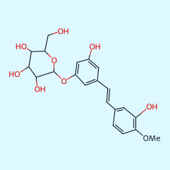 COc1ccc(C=Cc2cc(O)cc(OC3OC(CO)C(O)C(O)C3O)c2)cc1O